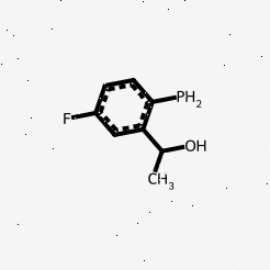 CC(O)c1cc(F)ccc1P